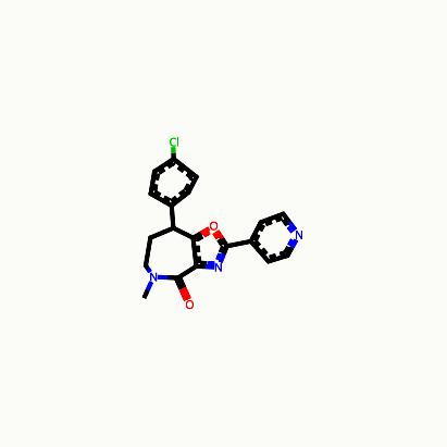 CN1CCC(c2ccc(Cl)cc2)c2oc(-c3ccncc3)nc2C1=O